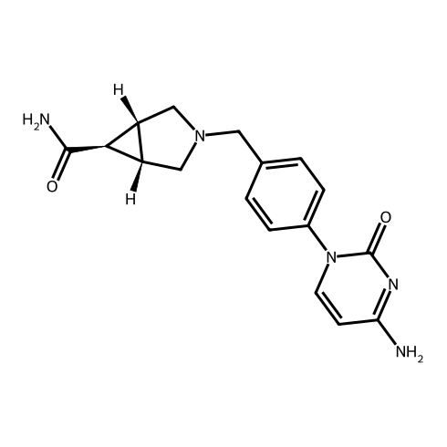 NC(=O)[C@H]1[C@@H]2CN(Cc3ccc(-n4ccc(N)nc4=O)cc3)C[C@@H]21